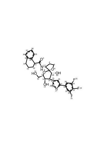 O=C(N[C@@H]1CCO[C@]12O[C@H](CO)[C@H](O)[C@H](n1cc(-c3cc(F)c(F)c(F)c3)nn1)[C@H]2O)C1CCCc2ccccc21